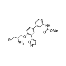 COC(=O)Nc1cc(-c2ccc(OCC(N)CC(C)C)c(-c3ccno3)c2)ccn1